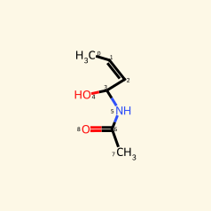 C/C=C\C(O)NC(C)=O